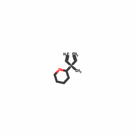 C=C[Si](C)(C=C)C1CCCCO1